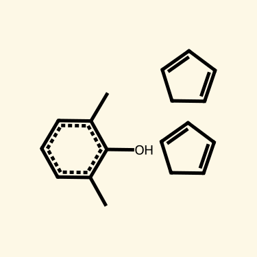 C1=CCC=C1.C1=CCC=C1.Cc1cccc(C)c1O